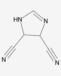 N#CC1N=CNC1C#N